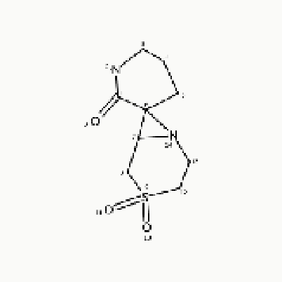 O=C1[N]CCCC12C1CS(=O)(=O)CCN12